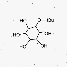 CC(C)(C)OC1C(O)C(O)C(O)C(O)C1O